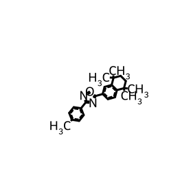 Cc1ccc(-c2noc(-c3ccc4c(c3)C(C)(C)CCC4(C)C)n2)cc1